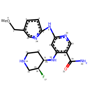 COCc1ccc(Nc2cc(N[C@@H]3CCNC[C@@H]3F)c(C(N)=O)cn2)nc1